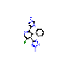 Fc1cnc(-c2c[nH]cn2)c(-c2ccccc2)c1-c1nn[nH]n1